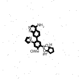 COc1cc(-n2cccn2)c(-c2ccc3c(N)cnnc3c2)cc1B1O[C@H]2CCC[C@@]2(C(C)C)O1